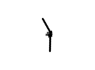 CCCCCCCCCCCCCCCCCCC1CCC1(S)C(=S)OC1(C(O)=S)CCC1CCCCCCCCCCCCCCCCCC